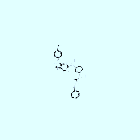 COc1ccc(-n2nnc3cnc(N[C@H]4CC[C@@H](NC(=O)OCc5ccccc5)C4)nc32)cc1